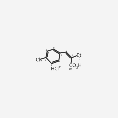 CCC(=Cc1ccc(Cl)cc1)C(=O)O.Cl